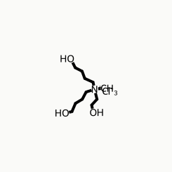 C[N+](CCO)(CCCCO)CCCCO.[Cl-]